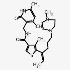 CC=C(CCCN1CCN(C)CC1)c1scc(C(=O)NCc2c(C)cc(C)[nH]c2=O)c1C